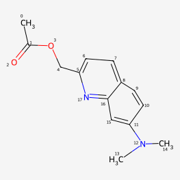 CC(=O)OCc1ccc2ccc(N(C)C)cc2n1